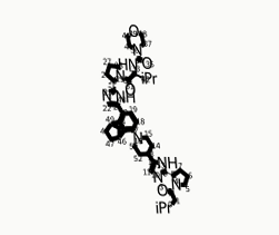 CC(C)CC(=O)N1CCC[C@H]1c1ncc(C2CCN(c3ccc(-c4cnc([C@@H]5CCCN5C(=O)[C@@H](NC(=O)N5CCOCC5)C(C)C)[nH]4)c4c3C3CCC4C3)CC2)[nH]1